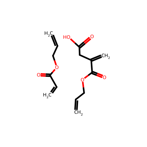 C=CCOC(=O)C(=C)CC(=O)O.C=CCOC(=O)C=C